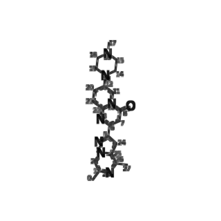 Cc1cn2nc(-c3cc(=O)n4cc(N5CCN(C)CC5)ccc4n3)cc2c(C)n1